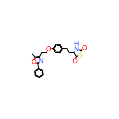 Cc1oc(-c2ccccc2)nc1CCOc1ccc(CCC2NC(=O)SC2=O)cc1